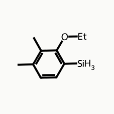 CCOc1c([SiH3])ccc(C)c1C